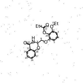 CCOc1cccc(OCC2NC(=O)c3ccccc3O2)c1OC(=O)CC